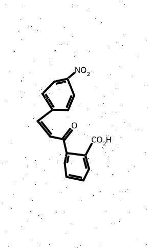 O=C(O)c1ccccc1C(=O)/C=C\c1ccc([N+](=O)[O-])cc1